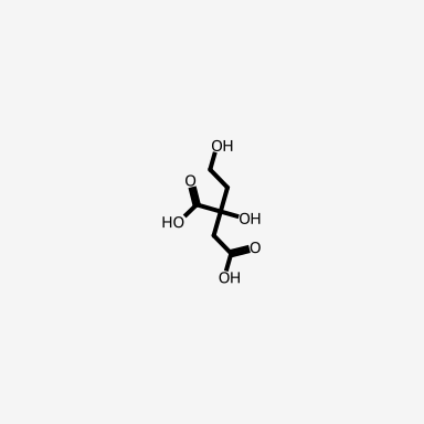 O=C(O)CC(O)(CCO)C(=O)O